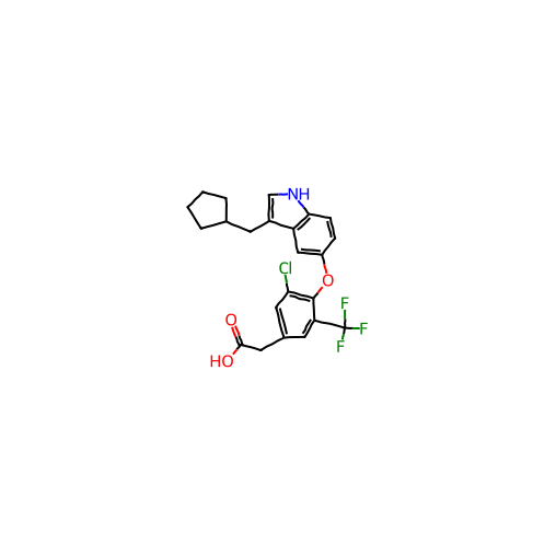 O=C(O)Cc1cc(Cl)c(Oc2ccc3[nH]cc(CC4CCCC4)c3c2)c(C(F)(F)F)c1